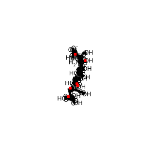 Cc1cc(N=Nc2c(S(=O)(=O)O)cc3c(S(=O)(=O)O)c(N=Nc4c(S(=O)(=O)O)cc5c(S(=O)(=O)O)c(N=Nc6cc(S(=O)(=O)O)c7cc(SOOO)c(N=Nc8ccc([N+](=O)[O-])cc8S(=O)(=O)O)c(O)c7c6N)ccc5c4O)ccc3c2O)c(OCCCSOOO)cc1N=Nc1cc(S(=O)(=O)O)cc2cc(S(=O)(=O)O)cc(O)c12